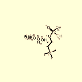 C[N+](C)(C)CCOP(=O)(O)O.O.O.O.O.[Ca+2]